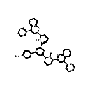 CN1C(c2cc(-c3ccccc3)c3ccccc3n2)=CC=CC1c1cc(C2=CC=CC(c3cc(-c4ccccc4)c4ccccc4n3)N2)cc(-c2ccc(C#N)cc2)c1